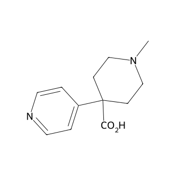 CN1CCC(C(=O)O)(c2ccncc2)CC1